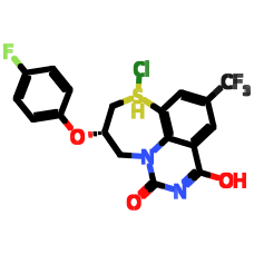 O=c1nc(O)c2cc(C(F)(F)F)cc3c2n1C[C@H](Oc1ccc(F)cc1)C[SH]3Cl